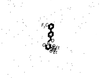 CCN(CC)S(=O)(=O)c1ccc(=O)n(CC(=O)c2ccc(-c3cccc(C(F)(F)F)c3)cc2)c1